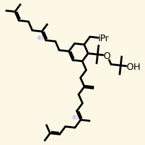 C=C(CC/C=C(\C)CCC=C(C)C)CCC1C=C(CC/C=C(\C)CCC=C(C)C)CC(CC(C)C)C1C(C)(C)OCC(C)(C)O